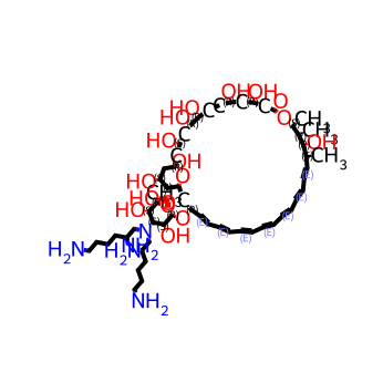 C[C@@H]1[C@H](O)[C@@H](C)/C=C/C=C/C=C/C=C/C=C/C=C/C=C/[C@H](O[C@@H]2O[C@H](C)[C@@H](O)[C@H](N(CC(N)CCCCN)CC(N)CCCCN)[C@@H]2O)CC2O[C@](O)(C[C@@H](O)C[C@@H](O)[C@H](O)CC[C@@H](O)C[C@@H](O)CC(=O)O[C@H]1C)C[C@H](O)[C@H]2C(=O)O